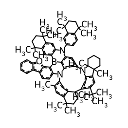 Cc1cc2c3cc1N1c4cc(cc5c4B(c4cc6c(cc4N5c4ccc5c(c4)C(C)(C)CCC5(C)C)C(C)(C)CCC6(C)C)c4c1ccc1c4oc4ccccc41)N1c4cc(c(C(C)(C)C)cc4C4(C)CCCCC14C)C3(C)CCC2(C)C